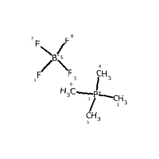 C[P+](C)(C)C.F[B-](F)(F)F